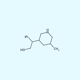 C[C](C)C(CO)C1CNCC(C)C1